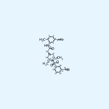 Cc1ccc(C#N)cc1NC(=O)CN1C[C@@H](C)N(S(=O)(=O)c2cccc(C#N)c2)[C@@H](C)C1